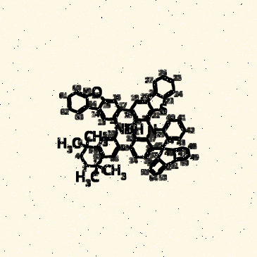 CC1(C)CCC(C)(C)c2cc(Nc3cc4c(cc3-c3cc5c(sc6ccccc65)c5c3Bc3cccc6c3N5c3ccccc3C63c5ccccc5-c5ccccc53)oc3ccccc34)ccc21